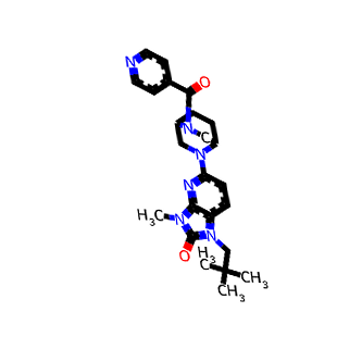 Cn1c(=O)n(CC(C)(C)C)c2ccc(N3CC4CCC3CN4C(=O)c3ccncc3)nc21